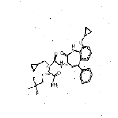 NC(=O)[C@H](CCC(F)(F)F)[C@H](CC1CC1)C(=O)N[C@H]1N=C(c2ccccc2)c2cccc(OC3CC3)c2NC1=O